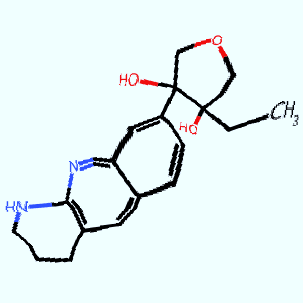 CCC1(O)COCC1(O)c1ccc2cc3c(nc2c1)NCCC3